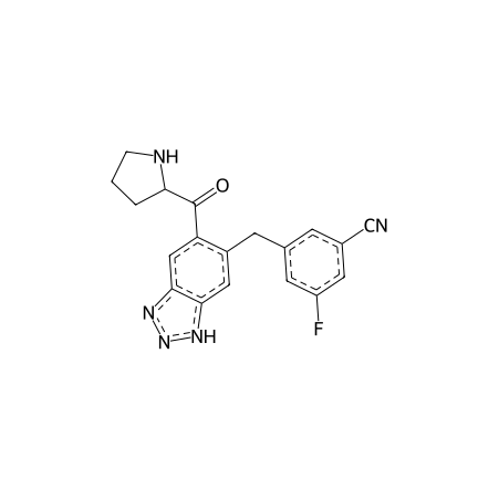 N#Cc1cc(F)cc(Cc2cc3[nH]nnc3cc2C(=O)C2CCCN2)c1